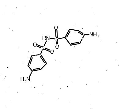 Nc1ccc(S(=O)(=O)NS(=O)(=O)c2ccc(N)cc2)cc1